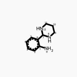 Nc1ccccc1C1NCCCN1